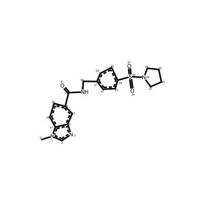 Cn1cnc2cc(C(=O)NCc3ccc(S(=O)(=O)N4CCCC4)cc3)ccc21